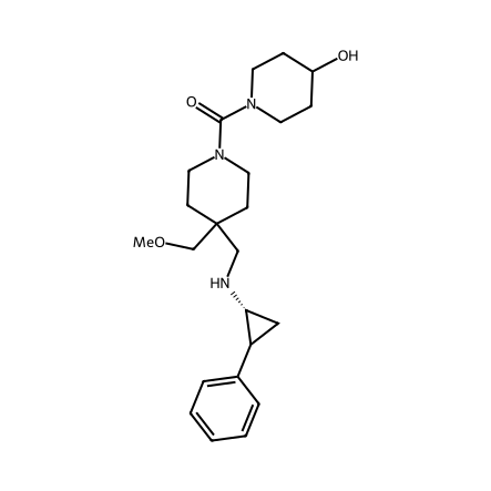 COCC1(CN[C@@H]2CC2c2ccccc2)CCN(C(=O)N2CCC(O)CC2)CC1